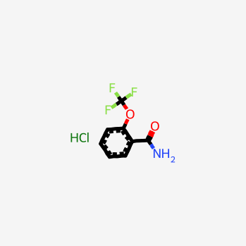 Cl.NC(=O)c1ccccc1OC(F)(F)F